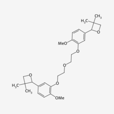 COc1ccc(C2OCC2(C)C)cc1OCCOCCOc1cc(C2OCC2(C)C)ccc1OC